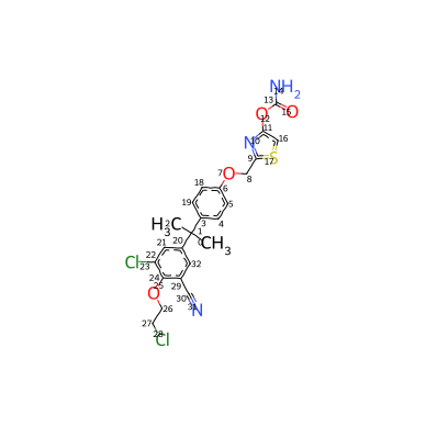 CC(C)(c1ccc(OCc2nc(OC(N)=O)cs2)cc1)c1cc(Cl)c(OCCCl)c(C#N)c1